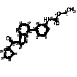 CCOC(=O)Nc1cccc(-c2ccnc3c(C(=O)c4cccs4)cnn23)c1